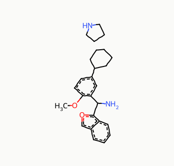 C1CCNC1.COc1ccc(C2CCCCC2)cc1C(N)c1occ2ccccc12